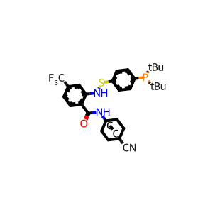 CC(C)(C)P(c1ccc(SNc2cc(C(F)(F)F)ccc2C(=O)NC23CCC(C#N)(CC2)CC3)cc1)C(C)(C)C